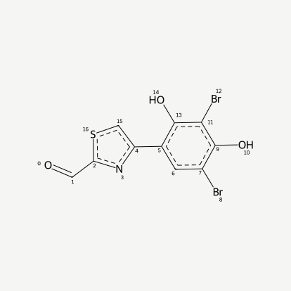 O=Cc1nc(-c2cc(Br)c(O)c(Br)c2O)cs1